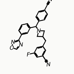 N#Cc1ccc(C(c2cccc(-c3ncon3)c2)N2CC(Cc3cc(F)cc(C#N)c3)C2)cc1